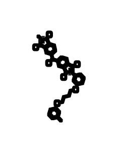 Cc1cccc(OCCCCOc2cccc(N3C(=O)c4ccc(C(=O)c5ccc6c(c5)C(=O)N(C)C6=O)cc4C3=O)c2)c1